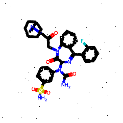 NC(=O)N(c1cccc(S(N)(=O)=O)c1)C1N=C(c2ccccc2F)c2ccccc2N(CC(=O)N2CC3CCC(CC3)C2)C1=O